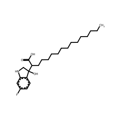 CCCCCCCCCCCCCCC(C(=O)O)C1(O)CNc2cc(F)ccc21